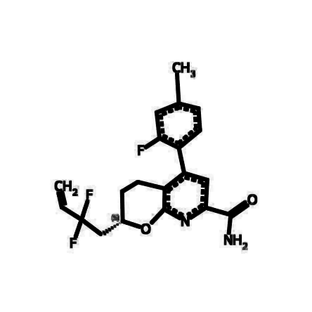 C=CC(F)(F)C[C@@H]1CCc2c(-c3ccc(C)cc3F)cc(C(N)=O)nc2O1